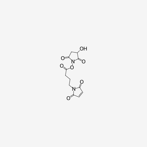 O=C(CCCN1C(=O)C=CC1=O)ON1C(=O)CC(O)C1=O